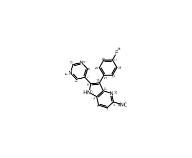 [C-]#[N+]c1ccc2[nH]c(-c3cncnc3)c(-c3ccc(F)cc3)c2n1